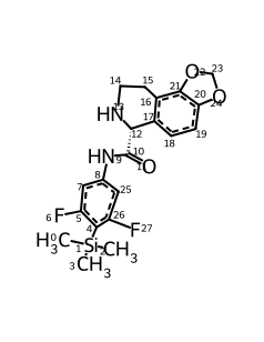 C[Si](C)(C)c1c(F)cc(NC(=O)[C@@H]2NCCc3c2ccc2c3OCO2)cc1F